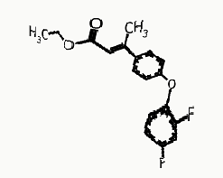 CCOC(=O)C=C(C)c1ccc(Oc2ccc(F)cc2F)cc1